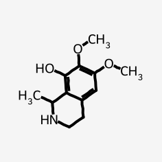 COc1cc2c(c(O)c1OC)C(C)NCC2